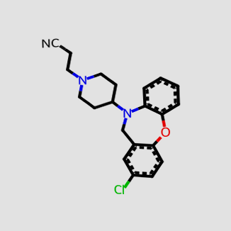 N#CCCN1CCC(N2Cc3cc(Cl)ccc3Oc3ccccc32)CC1